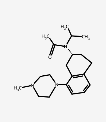 CC(=O)N(C(C)C)[C@@H]1CCc2cccc(N3CCN(C)CC3)c2C1